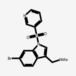 CNCc1cn(S(=O)(=O)c2cccnc2)c2cc(Br)ccc12